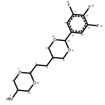 CCCCC1COC(CCC2COC(c3cc(F)c(F)c(F)c3)OC2)OC1